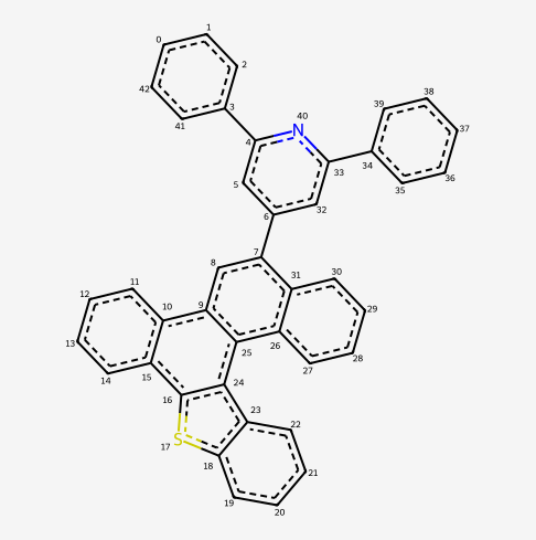 c1ccc(-c2cc(-c3cc4c5ccccc5c5sc6ccccc6c5c4c4ccccc34)cc(-c3ccccc3)n2)cc1